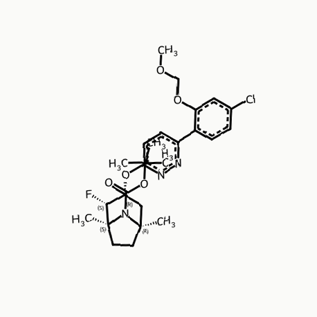 COCOc1cc(Cl)ccc1-c1ccc(O[C@@H]2C[C@@]3(C)CC[C@@](C)([C@@H]2F)N3C(=O)OC(C)(C)C)nn1